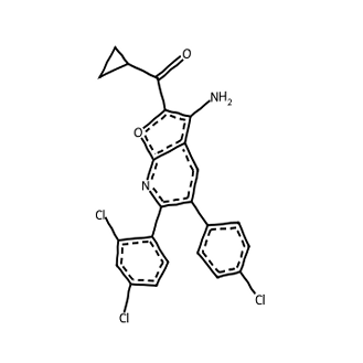 Nc1c(C(=O)C2CC2)oc2nc(-c3ccc(Cl)cc3Cl)c(-c3ccc(Cl)cc3)cc12